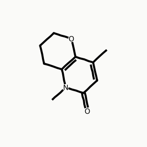 Cc1cc(=O)n(C)c2c1OCCC2